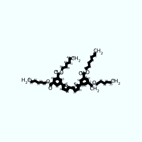 C=CCCCCCOC(=O)c1cc(C(=C)OCCCCC=C)cc(-c2ccc(-c3ccc(-c4cc(C(=O)OCCCCC=C)cc(C(=O)OCCCCC=C)c4)s3)s2)c1